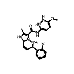 COC1=CC=C(NC(=O)C2=C(C)NC3C=CC(c4ccccc4Br)NN23)NN1